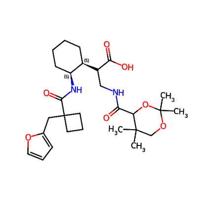 CC1(C)OCC(C)(C)C(C(=O)NCC(C(=O)O)[C@@H]2CCCC[C@@H]2NC(=O)C2(Cc3ccco3)CCC2)O1